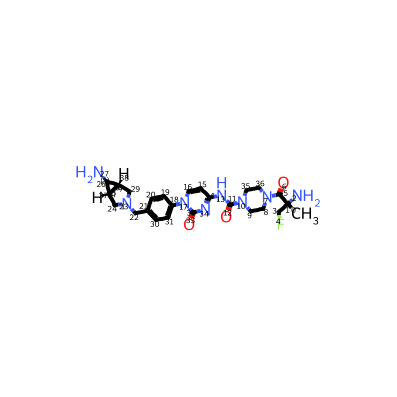 CC(N)(CF)C(=O)N1CCN(C(=O)Nc2ccn(-c3ccc(CN4C[C@@H]5[C@@H](N)[C@@H]5C4)cc3)c(=O)n2)CC1